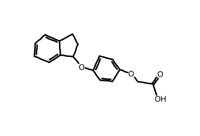 O=C(O)COc1ccc(OC2CCc3ccccc32)cc1